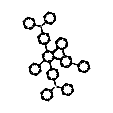 c1ccc(-c2ccc3c(c2)c2ccccc2c2c(-c4ccc(N(c5ccccc5)c5ccccc5)cc4)cc(-c4ccccc4)c(-c4ccc(N(c5ccccc5)c5ccccc5)cc4)c32)cc1